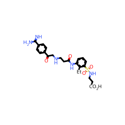 CCc1c(NC(=O)CCNCC(=O)c2ccc(C(=N)N)cc2)cccc1S(=O)(=O)NCCC(=O)O